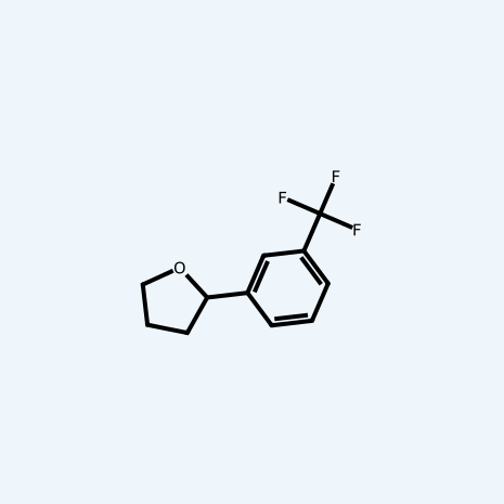 FC(F)(F)c1cccc(C2CCCO2)c1